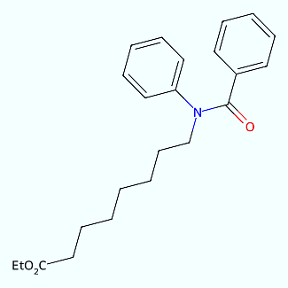 CCOC(=O)CCCCCCCN(C(=O)c1ccccc1)c1ccccc1